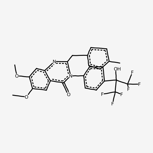 COc1cc2nc(Cc3ccc(C)cc3)n(-c3ccc(C(O)(C(F)(F)F)C(F)(F)F)cc3)c(=O)c2cc1OC